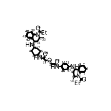 CCC(=O)N1c2ccccc2[C@H](Nc2ccc(NC(=O)COCC(=O)NC3CCC(N[C@@H]4C[C@H](C)N(C(=O)CC)c5ccccc54)CC3)cc2)C[C@@H]1C